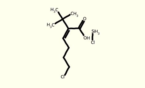 CC(C)(C)C(=CCCCCl)C(=O)O.[SiH3]Cl